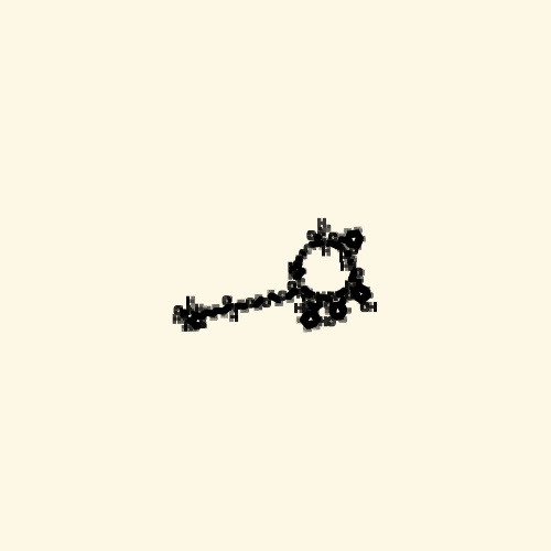 NC(=O)[C@@H]1CCCCn2cc(nn2)C[C@H](NC(=O)COCCOCCOCCNC(=O)CCCCC2SC[C@H]3NC(=O)N[C@@H]23)C(=O)N[C@H](Cc2c[nH]c3ccccc23)C(=O)N[C@H](Cc2ccc(O)cc2)C(=O)N[C@H](Cc2ccc(O)cc2)C(=O)NCC(=O)N[C@H](Cc2ccccc2)C(=O)N1